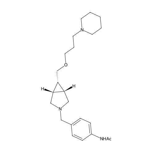 CC(=O)Nc1ccc(CN2C[C@@H]3[C@H](COCCCN4CCCCC4)[C@@H]3C2)cc1